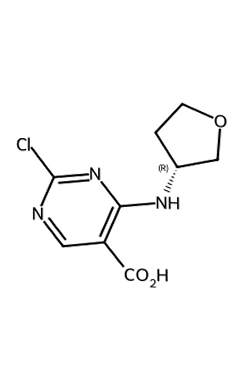 O=C(O)c1cnc(Cl)nc1N[C@@H]1CCOC1